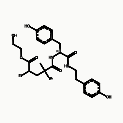 CCC(CC(C)(C(=O)N[C@@H](Cc1ccc(O)cc1)C(=O)NCCc1ccc(O)cc1)C(C)C)C(=O)OCCO